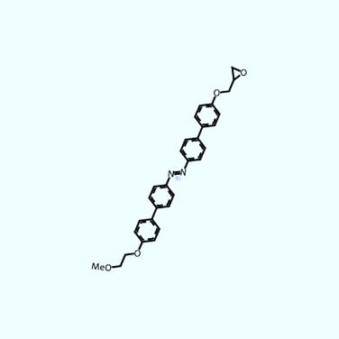 COCCOc1ccc(-c2ccc(/N=N/c3ccc(-c4ccc(OCC5CO5)cc4)cc3)cc2)cc1